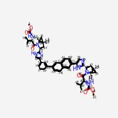 COC(=O)N[C@H](C(=O)N1[C@@H]2C[C@@H]2C[C@H]1c1nc(-c2cccc(-c3ccc4cc(-c5cnc([C@@H]6C[C@H]7C[C@H]7N6C(=O)[C@@H](NC(=O)OC)C(C)C)[nH]5)ccc4c3)c2)c[nH]1)C(C)C